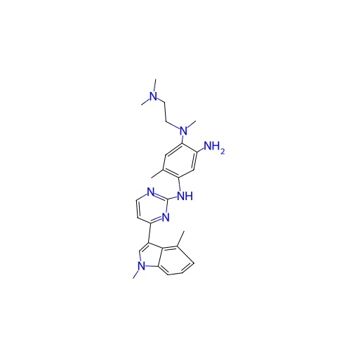 Cc1cc(N(C)CCN(C)C)c(N)cc1Nc1nccc(-c2cn(C)c3cccc(C)c23)n1